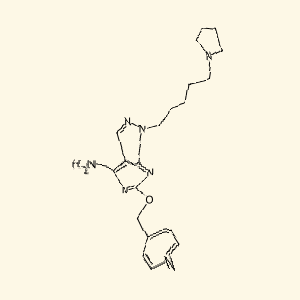 Nc1nc(OCc2ccncc2)nc2c1cnn2CCCCCN1CCCC1